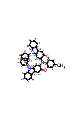 Cc1cc2c3c(c1)Oc1cc4c5ccccc5n(-c5ccccc5)c4cc1B3c1cc3c(cc1O2)c1ccccc1n3-c1ccccc1